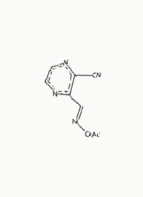 CC(=O)ON=Cc1nccnc1C#N